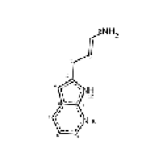 NC=CCc1cc2cccnc2[nH]1